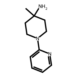 CC1(N)CCN(c2ccccn2)CC1